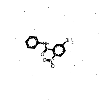 Bc1ccc([N+](=O)[O-])c(C(=O)Nc2ccccc2)c1